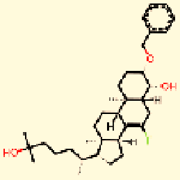 C[C@H](CCCC(C)(C)O)[C@H]1CC[C@H]2C3=C(F)C[C@H]4[C@@H](O)[C@@H](OCc5ccccc5)CC[C@]4(C)[C@H]3CC[C@]12C